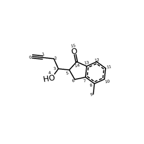 C#CCC(O)C1Cc2c(C)cccc2C1=O